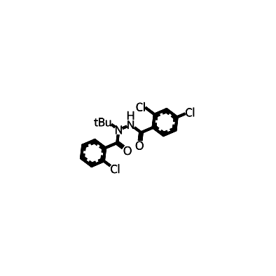 CC(C)(C)N(NC(=O)c1ccc(Cl)cc1Cl)C(=O)c1ccccc1Cl